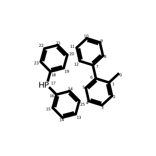 Cc1ccccc1-c1ccccc1.c1ccc(Pc2ccccc2)cc1